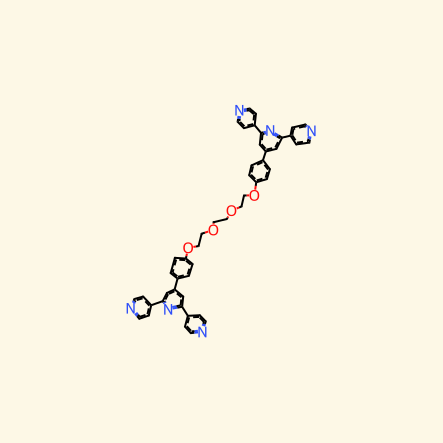 c1cc(-c2cc(-c3ccc(OCCOCCOCCOc4ccc(-c5cc(-c6ccncc6)nc(-c6ccncc6)c5)cc4)cc3)cc(-c3ccncc3)n2)ccn1